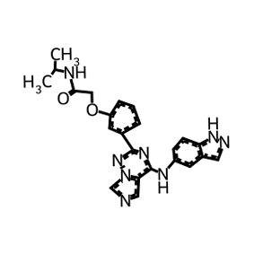 CC(C)NC(=O)COc1cccc(-c2nc(Nc3ccc4[nH]ncc4c3)c3cncn3n2)c1